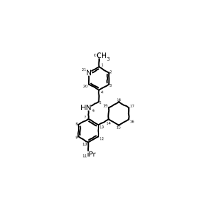 Cc1ccc(CNc2ccc(C(C)C)cc2C2CCCCC2)cn1